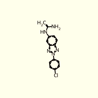 C=C(N)Nc1ccc2nn(-c3ccc(Cl)cc3)nc2c1